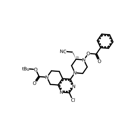 CC(C)(C)OC(=O)N1CCc2c(nc(Cl)nc2N2CCN(OC(=O)c3ccccc3)[C@@H](CC#N)C2)C1